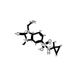 CC(C)Cn1c(=O)n(C)c2cc(S(=O)(=O)NC3(C)CC3)ccc21